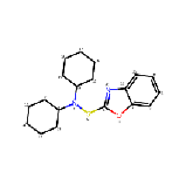 c1ccc2oc(SN(C3CCCCC3)C3CCCCC3)nc2c1